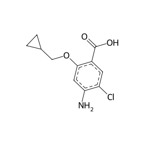 Nc1cc(OCC2CC2)c(C(=O)O)cc1Cl